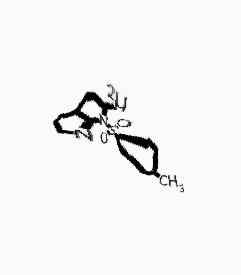 [2H]c1cc2cccnc2n1S(=O)(=O)c1ccc(C)cc1